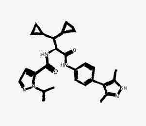 Cc1n[nH]c(C)c1-c1ccc(NC(=O)[C@@H](NC(=O)c2ccnn2C(C)C)C(C2CC2)C2CC2)cc1